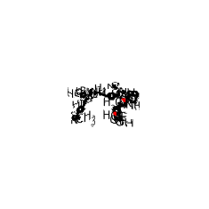 C/C(=C\C(=O)N[C@H]1CCc2cccc3c2N(C1=O)[C@H](C(=O)N[C@@H](CCC(N)=O)[C@@H](C)OCc1ccc(CCCCC(=O)NC(C(=O)N2C[C@H](O)C[C@H]2C(=O)NCc2ccc(-c4scnc4C)cc2)C(C)(C)C)cc1)C3)c1cccc(C(F)(F)P(=O)(O)O)c1